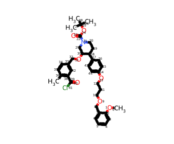 COc1ccccc1COCCCOc1ccc(C2CCN(C(=O)OC(C)(C)C)CC2OCc2ccc(C)c(C(=O)Cl)c2)cc1